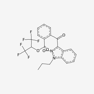 CCCn1c2ccccc2c(C(=O)c2ccccc2C(=O)OC(C(F)(F)F)C(F)(F)F)[n+]1[O-]